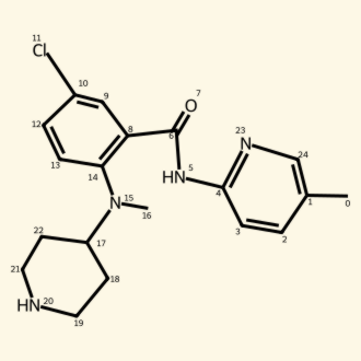 Cc1ccc(NC(=O)c2cc(Cl)ccc2N(C)C2CCNCC2)nc1